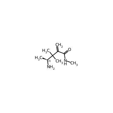 C=C(C(=O)NC)C(C)(C)[C@H](C)N